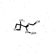 CON/C(=N\CC#N)C1(C)COC1